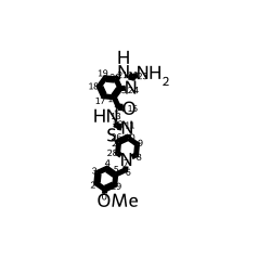 COc1cccc(CN2CCc3nc(NC(=O)c4cccc5[nH]c(N)nc45)sc3C2)c1